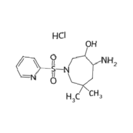 CC1(C)CC(N)C(O)CN(S(=O)(=O)c2ccccn2)C1.Cl